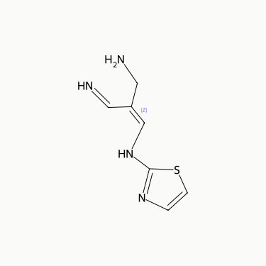 N=C/C(=C\Nc1nccs1)CN